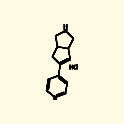 C1=C(c2ccncc2)CC2CNCC12.Cl